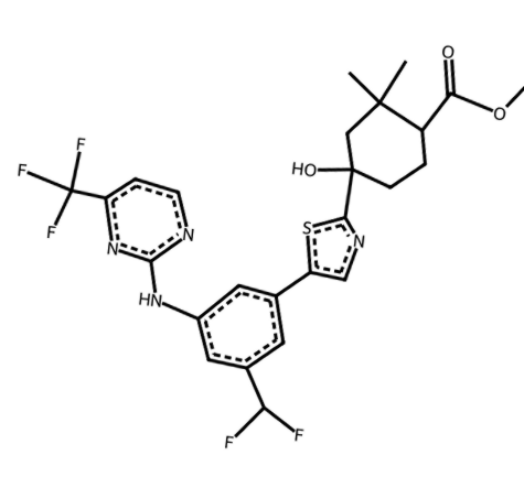 COC(=O)C1CCC(O)(c2ncc(-c3cc(Nc4nccc(C(F)(F)F)n4)cc(C(F)F)c3)s2)CC1(C)C